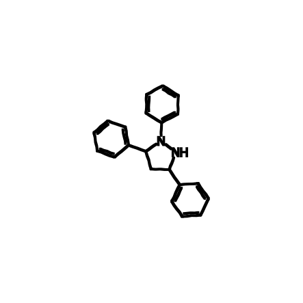 c1ccc(C2CC(c3ccccc3)N(c3ccccc3)N2)cc1